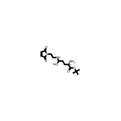 CC(C)(C)OC(=O)[C@H](N)CCC(O)NCCN1C(=O)C=CC1=O